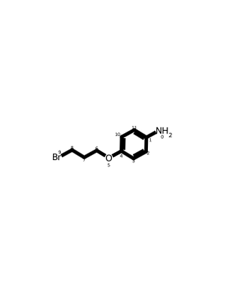 Nc1ccc(OCCCBr)cc1